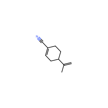 C=C(C)C1CC=C(C#N)CC1